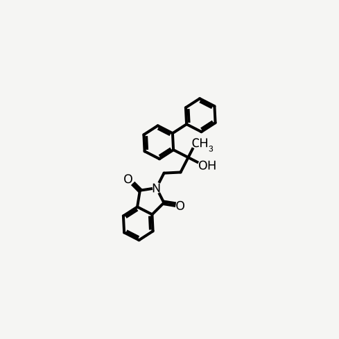 CC(O)(CCN1C(=O)c2ccccc2C1=O)c1ccccc1-c1ccccc1